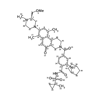 COC[C@H]1CN(c2cc(C)c3c4c(c(=O)oc3c2C)CN(C(=O)c2ccc(C(=O)NS(=O)(=O)C3(C)CC3)c(N3C5CCC3CC5)c2)CC4)CCN1C